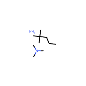 CC[CH]C(C)(C)C.CN(C)C.N